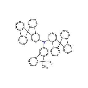 CC1(C)c2ccccc2-c2cc(N(c3ccc4c(c3)-c3ccccc3C43c4ccccc4-c4ccccc43)c3cccc4c3-c3ccccc3C43c4ccccc4-c4ccccc43)ccc21